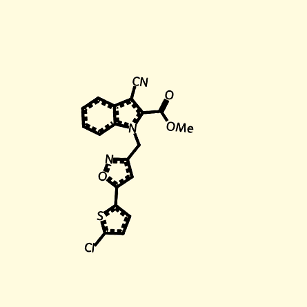 COC(=O)c1c(C#N)c2ccccc2n1Cc1cc(-c2ccc(Cl)s2)on1